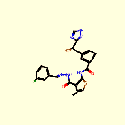 Cc1csc(NC(=O)c2cccc(C(S)c3nc[nH]n3)c2)c1C(=O)N/N=C/c1cccc(F)c1